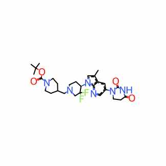 Cc1cn([C@@H]2CCN(CC3CCN(C(=O)OC(C)(C)C)CC3)CC2(F)F)c2ncc(N3CCC(=O)NC3=O)cc12